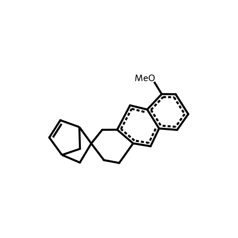 COc1cccc2cc3c(cc12)CC1(CC3)CC2C=CC1C2